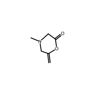 C=C1CN(C)CC(=O)O1